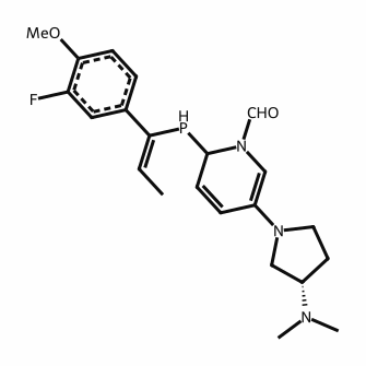 C/C=C(\PC1C=CC(N2CC[C@H](N(C)C)C2)=CN1C=O)c1ccc(OC)c(F)c1